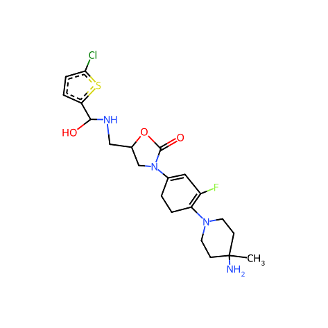 CC1(N)CCN(C2=C(F)C=C(N3CC(CNC(O)c4ccc(Cl)s4)OC3=O)CC2)CC1